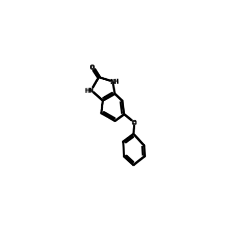 O=c1[nH]c2ccc(Oc3ccccc3)cc2[nH]1